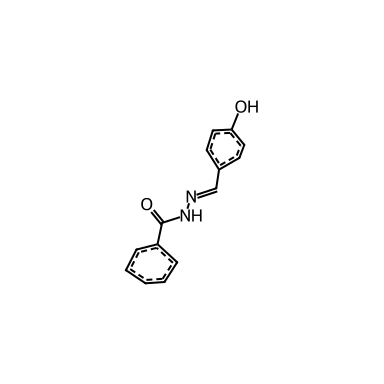 O=C(NN=Cc1ccc(O)cc1)c1ccccc1